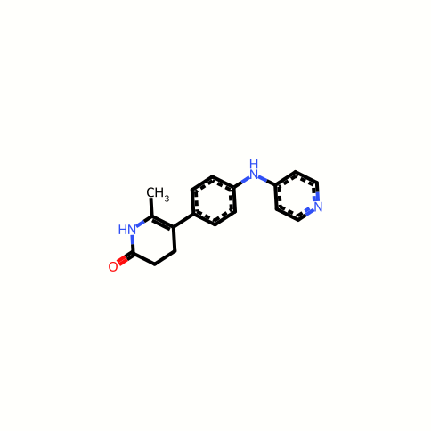 CC1=C(c2ccc(Nc3ccncc3)cc2)CCC(=O)N1